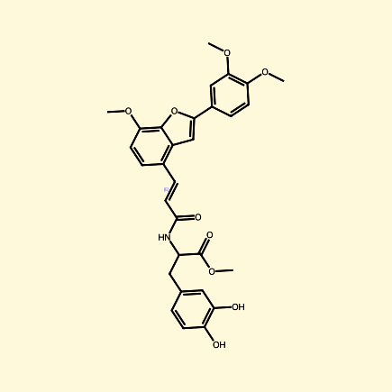 COC(=O)C(Cc1ccc(O)c(O)c1)NC(=O)/C=C/c1ccc(OC)c2oc(-c3ccc(OC)c(OC)c3)cc12